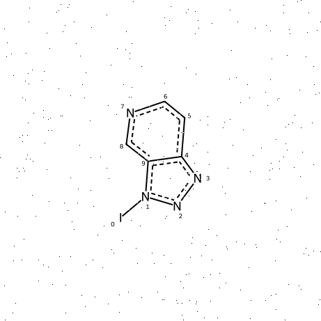 In1nnc2ccncc21